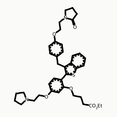 CCOC(=O)CCCOc1cc(OCCN2CCCC2)ccc1-c1sc2ccccc2c1Cc1ccc(OCCN2CCCC2=O)cc1